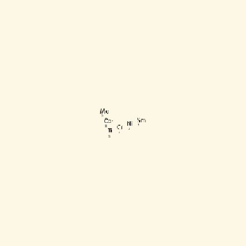 [Co].[Cr].[Mo].[Ni].[Sm].[Ti]